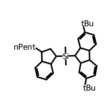 CCCCCC1CC([Si](C)(C)C2C3C=C(C(C)(C)C)C=CC3C3C=CC(C(C)(C)C)=CC32)C2C=CC=CC12